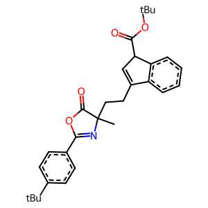 CC(C)(C)OC(=O)C1C=C(CCC2(C)N=C(c3ccc(C(C)(C)C)cc3)OC2=O)c2ccccc21